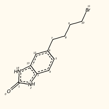 O=c1[nH]c2ccc(CCCCBr)cc2[nH]1